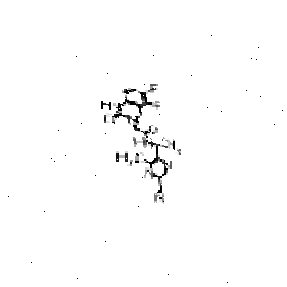 Cc1nc(C#N)cnc1C(C)NC(=O)CN1Cc2c(ccc(F)c2F)NC1=O